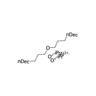 CC(C)[O-].CC(C)[O-].CCCCCCCCCCCCCOCCCCCCCCCCCCC.[Al+2]